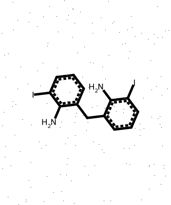 Nc1c(I)cccc1Cc1cccc(I)c1N